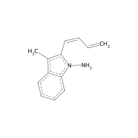 C=C/C=C\c1c(C)c2ccccc2n1N